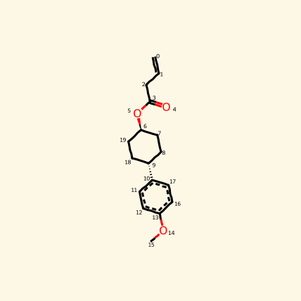 C=CCC(=O)O[C@H]1CC[C@H](c2ccc(OC)cc2)CC1